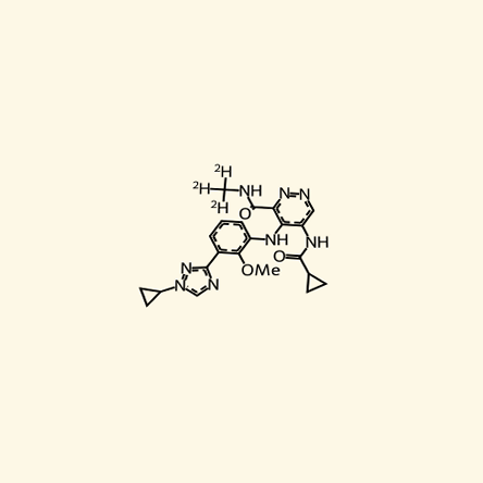 [2H]C([2H])([2H])NC(=O)c1nncc(NC(=O)C2CC2)c1Nc1cccc(-c2ncn(C3CC3)n2)c1OC